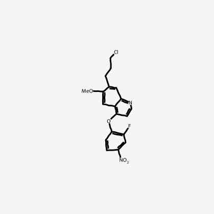 COc1cc2c(Oc3ccc([N+](=O)[O-])cc3F)ccnc2cc1CCCCl